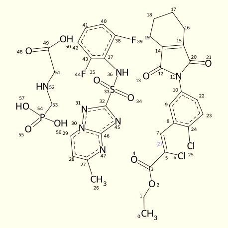 CCOC(=O)/C(Cl)=C/c1cc(N2C(=O)C3=C(CCCC3)C2=O)ccc1Cl.Cc1ccn2nc(S(=O)(=O)Nc3c(F)cccc3F)nc2n1.O=C(O)CNCP(=O)(O)O